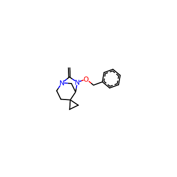 C=C1N2CCC3(CC3)C(C2)N1OCc1ccccc1